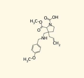 C=CCC1(CNCc2ccc(OC)cc2)CCN(C(=O)O)C1C(=O)OC